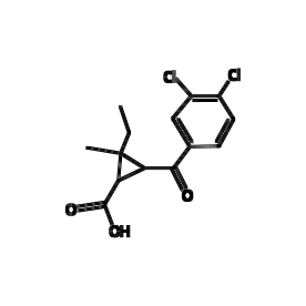 CCC1(C)C(C(=O)O)C1C(=O)c1ccc(Cl)c(Cl)c1